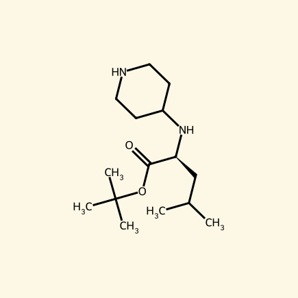 CC(C)C[C@H](NC1CCNCC1)C(=O)OC(C)(C)C